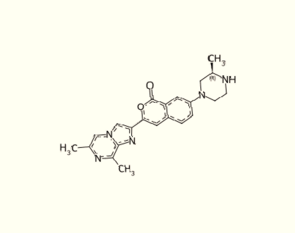 Cc1cn2cc(-c3cc4ccc(N5CCN[C@H](C)C5)cc4c(=O)o3)nc2c(C)n1